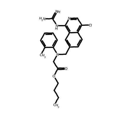 CCCCOC(=O)CN(Cc1ccc2c(Cl)cnc(NC(=N)N)c2c1)c1ccccc1C